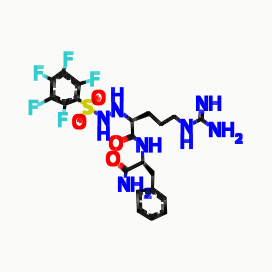 N=C(N)NCCC[C@H](NNS(=O)(=O)c1c(F)c(F)c(F)c(F)c1F)C(=O)N[C@@H](Cc1ccccc1)C(N)=O